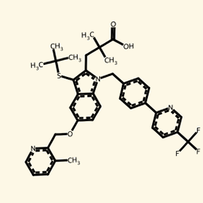 Cc1cccnc1COc1ccc2c(c1)c(SC(C)(C)C)c(CC(C)(C)C(=O)O)n2Cc1ccc(-c2ccc(C(F)(F)F)cn2)cc1